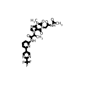 CC(=O)NC(=O)Cn1c(=O)c2c(ncn2C(C)C(=O)Nc2cccc(-c3cnc(C(F)(F)F)nc3)n2)n(C)c1=O